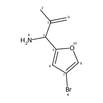 C=C(C)C(N)c1cc(Br)co1